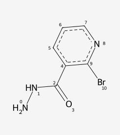 NNC(=O)c1cccnc1Br